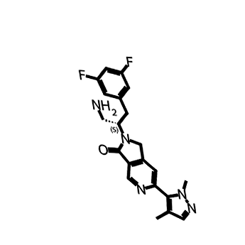 Cc1cnn(C)c1-c1cc2c(cn1)C(=O)N([C@H](CN)Cc1cc(F)cc(F)c1)C2